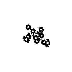 Cc1cc2c(cc1N1c3cc(-c4ccccc4)ccc3Bc3c1cc1ccccc1c3-c1c(Nc3ccc4c(c3)C(C)(C)CCC4(C)C)ccc3c1C(C)(C)c1ccccc1-3)C(C)(C)CCC2(C)C